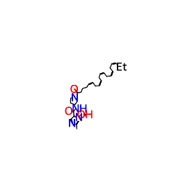 CC/C=C\C/C=C\C/C=C\C/C=C\C/C=C\CCCC(=O)N1CC[C@@H](NC(=O)c2cnc(C)c[n+]2O)C1